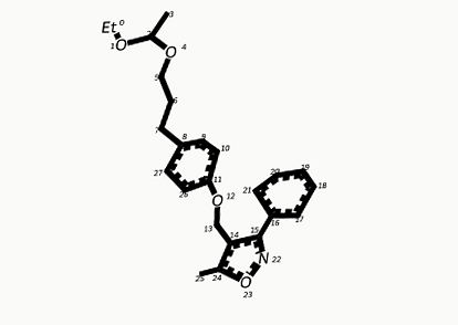 CCOC(C)OCCCc1ccc(OCc2c(-c3ccccc3)noc2C)cc1